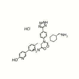 Cl.NC[C@H]1CC[C@H](C(=O)N(c2ccc(-c3nn[nH]n3)cc2)[C@@H](Cc2ccc(-c3ccc(O)nc3)cc2)C(N)=O)CC1